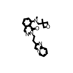 CN(CC1(C)COC1)c1cccc2cnn(CCc3cn4ccccc4n3)c(=O)c12